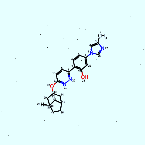 Cc1cn(-c2ccc(-c3ccc(O[C@H]4CC5CC[C@@H](C5)C4)nn3)c(O)c2)cn1